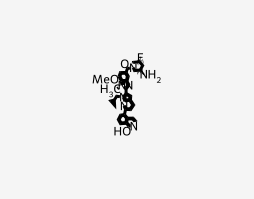 COc1cc(C(=O)N2C[C@H](N)C[C@@H](F)C2)cc2nc(-c3cc4ccc(-c5cccc6c(O)nccc56)nc4n3CC3CC3)n(C)c12